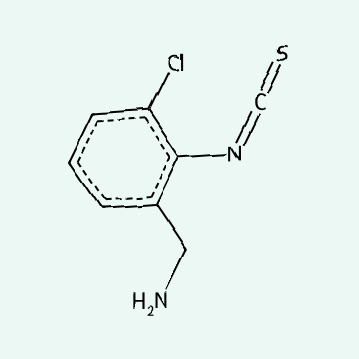 NCc1cccc(Cl)c1N=C=S